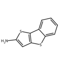 Nc1cc2sc3ccccc3c2s1